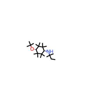 CCC(C)(C)N[C@H]1C(C)(C)C(C)(C)[C@H](OC(C)(C)C)C(C)(C)C1(C)C